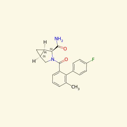 Cc1cccc(C(=O)N2C[C@H]3C[C@H]3[C@H]2C(N)=O)c1-c1ccc(F)cc1